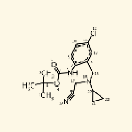 CC(C)(C)OC(=O)Nc1ccc(Cl)cc1CN(CC#N)C1CC1